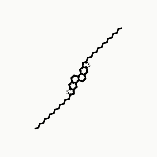 CCCCCCCCCCCCCCc1cc2cc3c(ccc4c5cc6cc(CCCCCCCCCCCCCC)sc6cc5ccc34)cc2s1